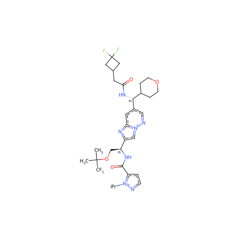 CC(C)n1nccc1C(=O)N[C@@H](COC(C)(C)C(F)(F)F)c1cn2ncc([C@H](NC(=O)CC3CC(F)(F)C3)C3CCOCC3)cc2n1